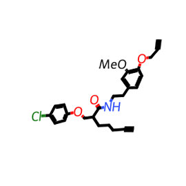 C#CCCCC(COc1ccc(Cl)cc1)C(=O)NCCc1ccc(OCC#C)c(OC)c1